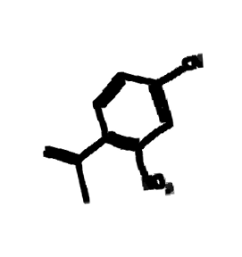 C=C(C)c1ccc(C#N)cc1[N+](=O)[O-]